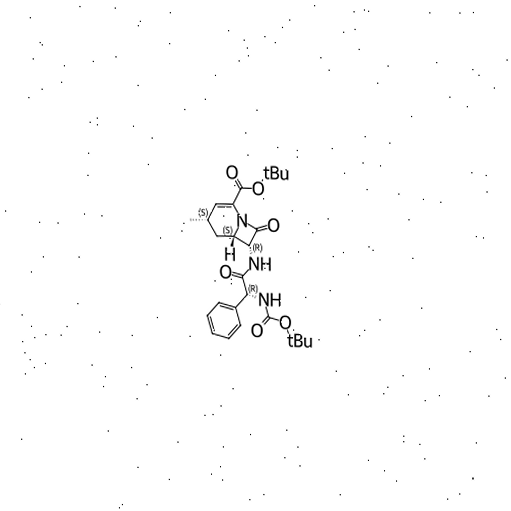 C[C@@H]1C=C(C(=O)OC(C)(C)C)N2C(=O)[C@H](NC(=O)[C@H](NC(=O)OC(C)(C)C)c3ccccc3)[C@@H]2C1